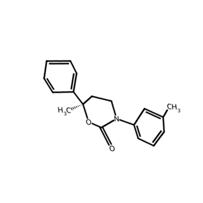 Cc1cccc(N2CC[C@](C)(c3ccccc3)OC2=O)c1